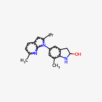 Cc1ccc2cc(C(C)C)n(-c3cc(C)c4c(c3)CC(O)N4)c2n1